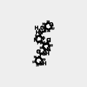 CC1(CNc2cncc(-c3cc(NC(=O)[C@@H]4CCCNC4)ncc3Cl)n2)CCOCC1